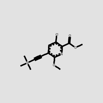 COC(=O)c1nc(OC)c(C#C[Si](C)(C)C)cc1Cl